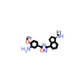 CCN[C@H]1CCc2c(-c3noc(-c4ccc(OC(C)C)c(N)c4)n3)cccc21